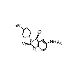 CCC[C@H]1CC[C@H](n2c(=O)[nH]c3ccc(NC(C)=O)cc3c2=O)CC1